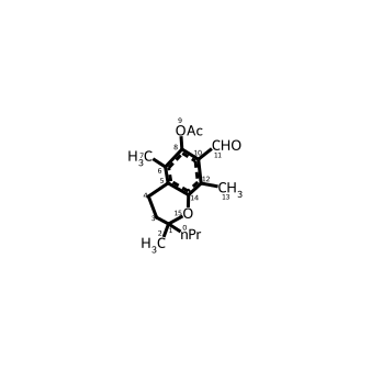 CCCC1(C)CCc2c(C)c(OC(C)=O)c(C=O)c(C)c2O1